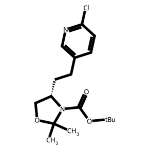 CC(C)(C)OC(=O)N1[C@@H](CCc2ccc(Cl)nc2)COC1(C)C